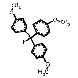 COc1ccc(C(F)(c2ccc(OC)cc2)c2ccc(OC)cc2)cc1